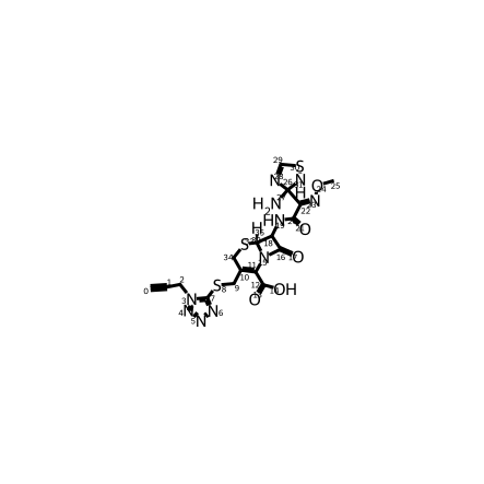 C#CCn1nnnc1SCC1=C(C(=O)O)N2C(=O)C(NC(=O)/C(=N/OC)C3(N)N=CSN3)[C@H]2SC1